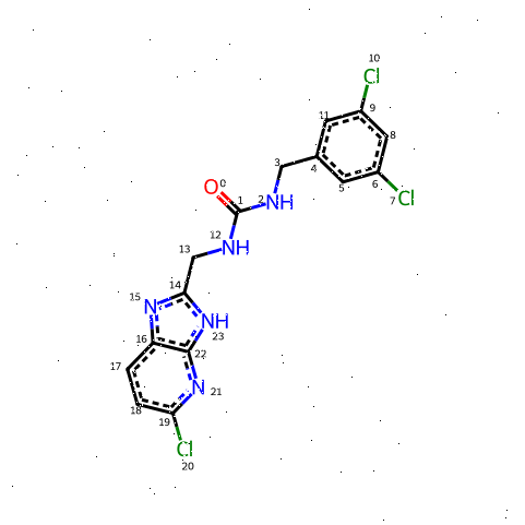 O=C(NCc1cc(Cl)cc(Cl)c1)NCc1nc2ccc(Cl)nc2[nH]1